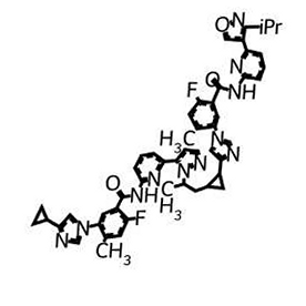 Cc1cc(F)c(C(=O)Nc2cccc(-c3conc3C(C)C)n2)cc1-n1cnc(C2CC2CC(C)n2nccc2-c2cccc(NC(=O)c3cc(-n4cnc(C5CC5)c4)c(C)cc3F)n2)c1